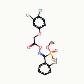 CCC(C)OP(=O)(O)C(=NOC(=O)COc1ccc(Cl)c(Cl)c1)c1ccccc1Cl